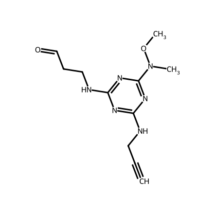 C#CCNc1nc(NCCC=O)nc(N(C)OC)n1